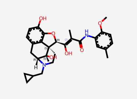 COc1ccc(C)cc1NC(=O)/C(C)=C(\O)[C@@H]1Oc2c(O)ccc3c2[C@@]12CCN(CC1CC1)[C@H](C3)[C@@]2(C)O